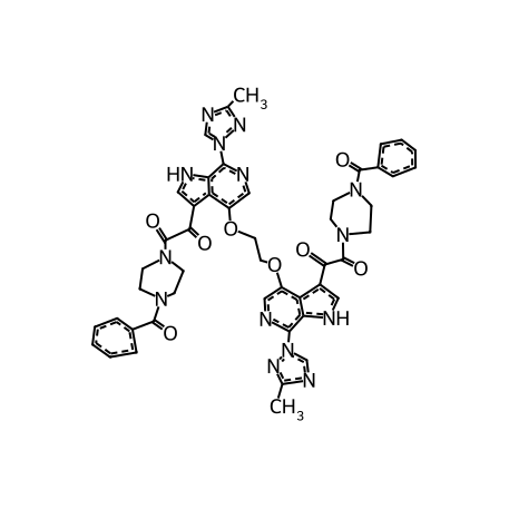 Cc1ncn(-c2ncc(OCCOc3cnc(-n4cnc(C)n4)c4[nH]cc(C(=O)C(=O)N5CCN(C(=O)c6ccccc6)CC5)c34)c3c(C(=O)C(=O)N4CCN(C(=O)c5ccccc5)CC4)c[nH]c23)n1